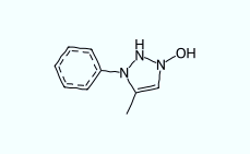 CC1=CN(O)NN1c1ccccc1